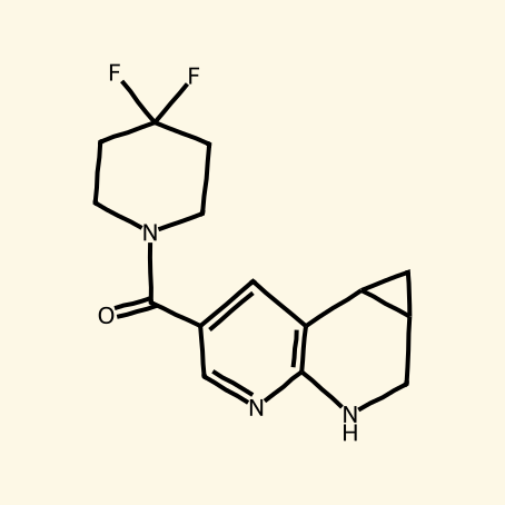 O=C(c1cnc2c(c1)C1CC1CN2)N1CCC(F)(F)CC1